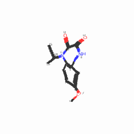 COc1ccc2c(c1)[nH]c(=O)c(=O)n2C(C)C